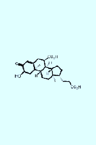 C[C@]12CC[C@H]3[C@@H]([C@H](C(=O)O)CC4=CC(=O)C(O)C[C@@]43C)[C@@H]1CC[C@@H]2CCC(=O)O